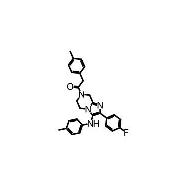 Cc1ccc(CC(=O)N2CCn3c(nc(-c4ccc(F)cc4)c3Nc3ccc(C)cc3)C2)cc1